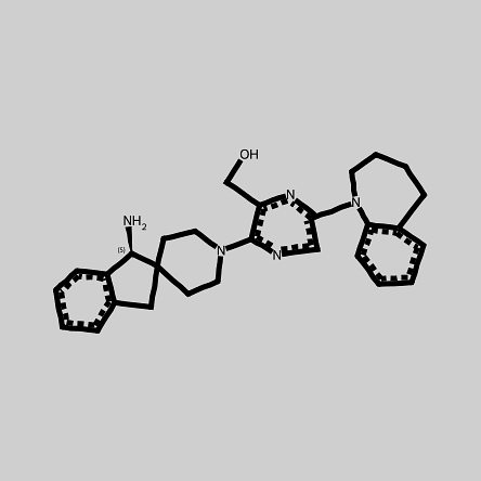 N[C@@H]1c2ccccc2CC12CCN(c1ncc(N3CCCCc4ccccc43)nc1CO)CC2